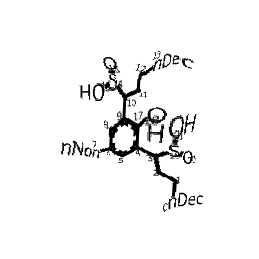 CCCCCCCCCCCCC(c1cc(CCCCCCCCC)cc(C(CCCCCCCCCCCC)S(=O)O)c1O)S(=O)O